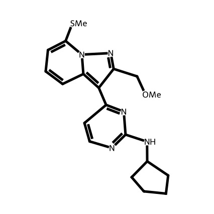 COCc1nn2c(SC)cccc2c1-c1ccnc(NC2CCCC2)n1